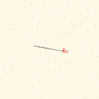 CCCCCC=CCC=CCC=CCC=CCC=CCCCCCCCCCCC(=O)O